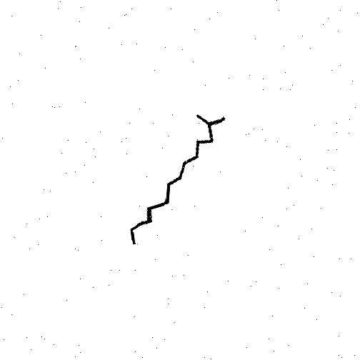 [CH2]CCCCCCCCCC[C](C)C